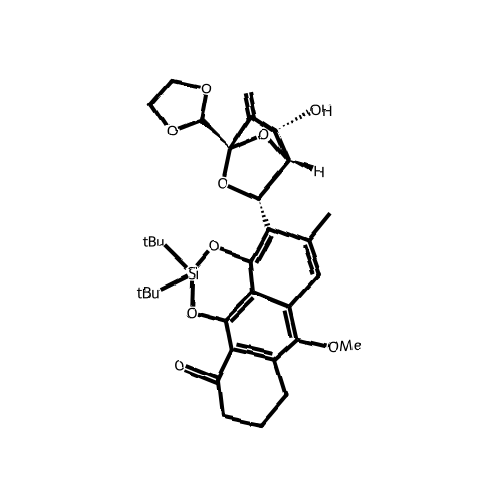 C=C1[C@H](O)[C@H]2O[C@]1(C1OCCO1)O[C@H]2c1c(C)cc2c(OC)c3c(c4c2c1O[Si](C(C)(C)C)(C(C)(C)C)O4)C(=O)CCC3